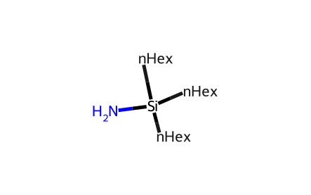 CCCCCC[Si](N)(CCCCCC)CCCCCC